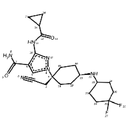 N#CC[C@]1(n2cc(C(N)=O)c(NC(=O)C3CC3)n2)CC[C@H](NC2CCC(F)(F)CC2)CC1